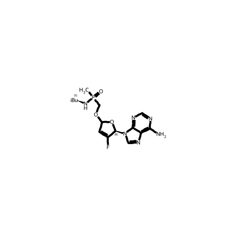 CC[C@H](C)NP(C)(=O)COC1C=C(F)[C@H](n2cnc3c(N)ncnc32)O1